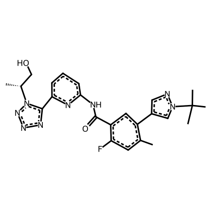 Cc1cc(F)c(C(=O)Nc2cccc(-c3nnnn3[C@H](C)CO)n2)cc1-c1cnn(C(C)(C)C)c1